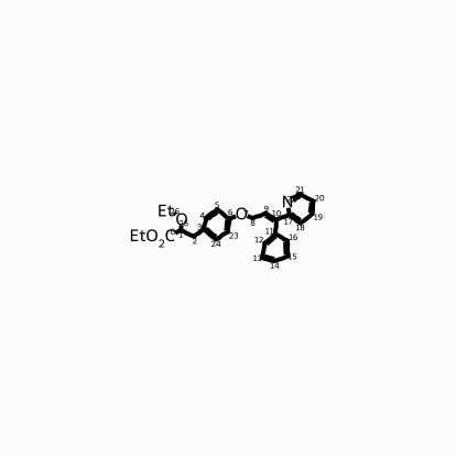 CCOC(=O)C(Cc1ccc(OC/C=C(\c2ccccc2)c2ccccn2)cc1)OCC